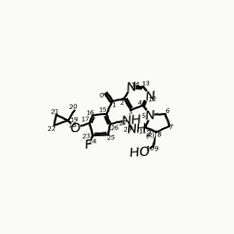 C=C(c1cc(N2CC[C@@H](CO)C2)ncn1)c1cc(OC2(C)CC2)c(F)cc1NN